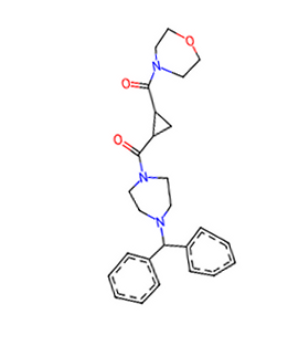 O=C(C1CC1C(=O)N1CCN(C(c2ccccc2)c2ccccc2)CC1)N1CCOCC1